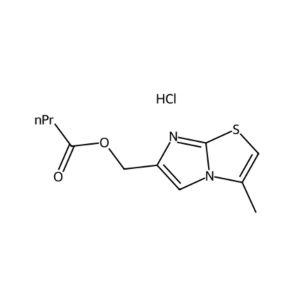 CCCC(=O)OCc1cn2c(C)csc2n1.Cl